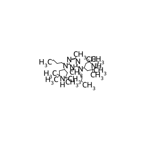 CCCCN(C1=NC(C)=NC(N(CCCC)C2CC(C)(C)NC(C)(C)C2)N1C)C1CC(C)(C)NC(C)(C)C1